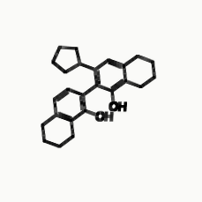 Oc1c(-c2c(C3CCCC3)cc3c(c2O)CCCC3)ccc2c1CCCC2